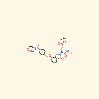 CC(c1ccc(COc2cccc3c2CN([C@@H](CCC(=O)OC(C)(C)C)C(N)=O)C3=O)cc1)N1CC2CC1CO2